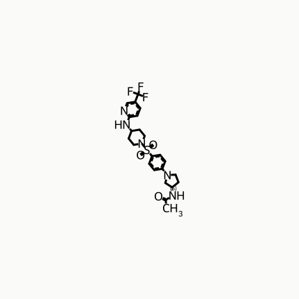 CC(=O)N[C@H]1CCN(c2ccc(S(=O)(=O)N3CCC(Nc4ccc(C(F)(F)F)cn4)CC3)cc2)C1